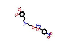 COc1ccc(CCN(C)CCCOc2nnc(-c3ccc([N+](=O)[O-])cc3)o2)cc1OC